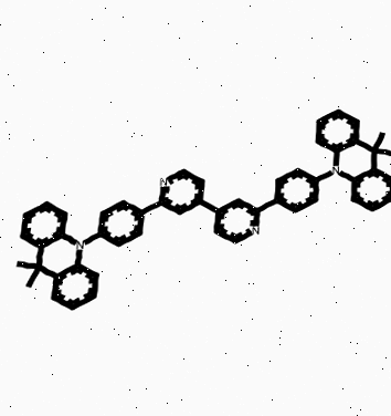 CC1(C)c2ccccc2N(c2ccc(-c3cc(-c4ccnc(-c5ccc(N6c7ccccc7C(C)(C)c7ccccc76)cc5)c4)ccn3)cc2)c2ccccc21